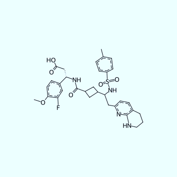 COc1ccc([C@H](CC(=O)O)NC(=O)C2CC(C(Cc3ccc4c(n3)NCCC4)NS(=O)(=O)c3ccc(C)cc3)C2)cc1F